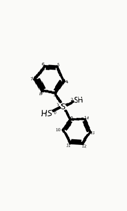 SS(S)(c1ccccc1)c1ccccc1